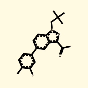 CC(=O)c1nn(CC(C)(C)C)c2ccc(-c3ccc(C)c(F)c3)cc12